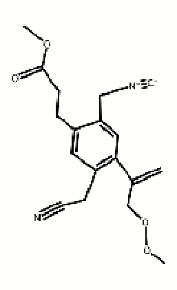 [C-]#[N+]Cc1cc(C(=C)COOC)c(CC#N)cc1CCC(=O)OC